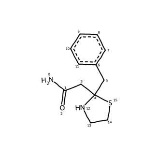 NC(=O)CC1(Cc2ccccc2)NCCS1